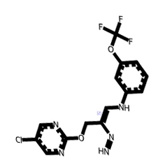 N=N/C(=C\Nc1cccc(OC(F)(F)F)c1)COc1ncc(Cl)cn1